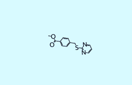 COC(=O)c1ccc(CSc2ncccn2)cc1